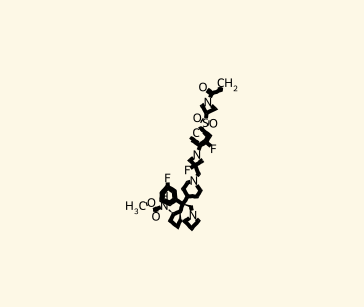 C=CC(=O)N1CC(S(=O)(=O)c2ccc(N3CC(F)(CN4CCC([C@@](CN5CCC5)(c5cccc(F)c5)[C@H]5CCC[C@@H]5NC(=O)OC)CC4)C3)c(F)c2)C1